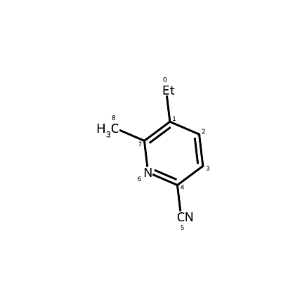 CCc1ccc(C#N)nc1C